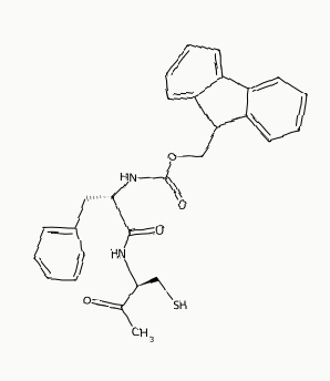 CC(=O)[C@H](CS)NC(=O)[C@H](Cc1ccccc1)NC(=O)OCC1c2ccccc2-c2ccccc21